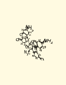 CC(C(=O)C(C)c1cn(-c2ccc(N)cc2Cl)c2cc(Cl)ccc12)c1cn(-c2ccc(N)cc2Cl)c2cc(Cl)ccc12